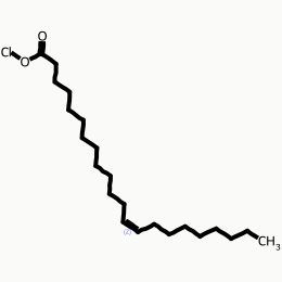 CCCCCCCC/C=C\CCCCCCCCCCCC(=O)OCl